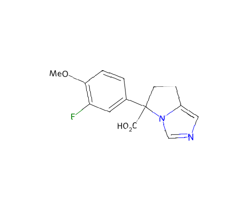 COc1ccc(C2(C(=O)O)CCc3cncn32)cc1F